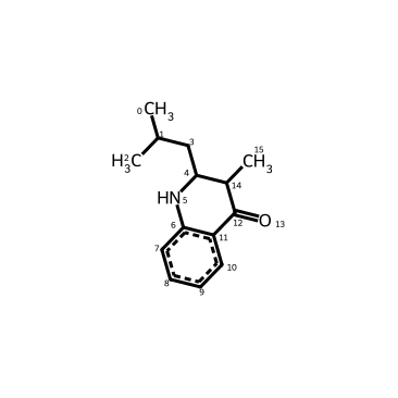 CC(C)CC1Nc2ccccc2C(=O)C1C